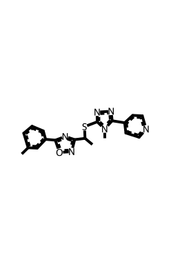 Cc1cccc(-c2nc(C(C)Sc3nnc(-c4ccncc4)n3C)no2)c1